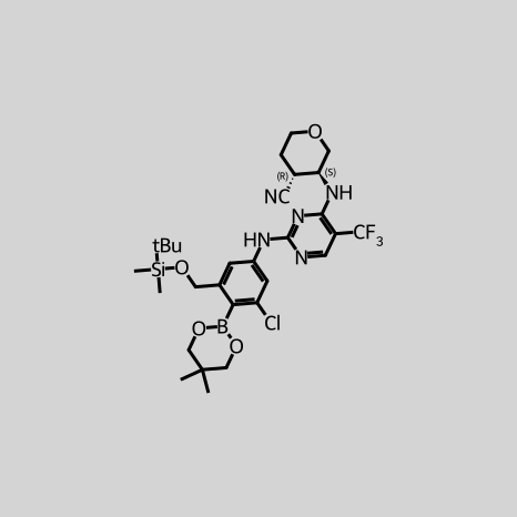 CC1(C)COB(c2c(Cl)cc(Nc3ncc(C(F)(F)F)c(N[C@@H]4COCC[C@H]4C#N)n3)cc2CO[Si](C)(C)C(C)(C)C)OC1